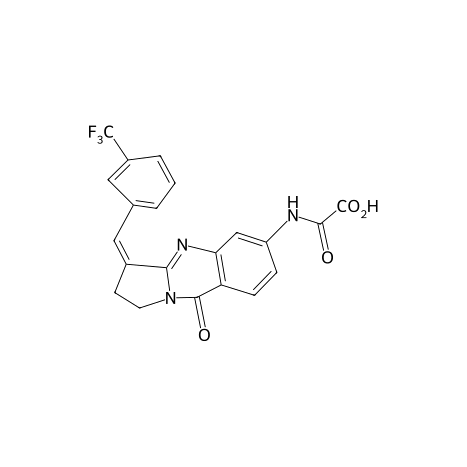 O=C(O)C(=O)Nc1ccc2c(=O)n3c(nc2c1)/C(=C\c1cccc(C(F)(F)F)c1)CC3